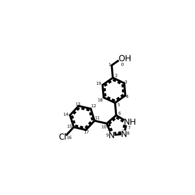 OCc1ccc(-c2[nH]nnc2-c2cccc(Cl)c2)cc1